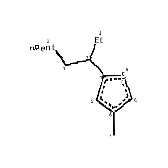 CCCCCCC(CC)c1cc(C)cs1